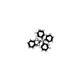 c1ccc([Si](B2Oc3ccccc3O2)(c2ccccc2)c2ccccc2)cc1